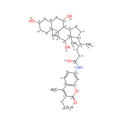 Cc1c(CC(=O)O)c(=O)oc2cc(NC(=O)CCC(C)C3CCC4C5C(O)CC6CC(O)CCC6(C)C5CC(O)C34C)ccc12